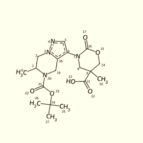 CC1Cn2ncc(N3CC(C)(C(=O)O)COC3=O)c2CN1C(=O)OC(C)(C)C